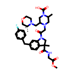 COC(=O)CNC(=O)C1(C)CN(C(=O)CN2CC(C)N(C(=O)O)CC2CN2CCOC[C@H]2C)c2cc(Cc3ccc(F)cc3)ccc21